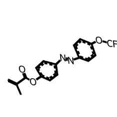 C=C(C)C(=O)Oc1ccc(N=Nc2ccc(OC(F)(F)F)cc2)cc1